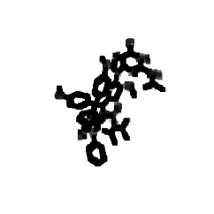 COc1ccc(C(c2ccccc2)(c2ccc(OC)cc2)C(OC(=O)COc2ccccc2)[C@H]2O[C@@H](n3cnc4c(=O)[nH]c(NC(C)C)nc43)[C@H](OC)[C@@H]2OP(OCCC#N)N(C(C)C)C(C)C)cc1